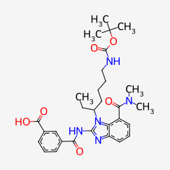 CCC(CCCCNC(=O)OC(C)(C)C)n1c(NC(=O)c2cccc(C(=O)O)c2)nc2cccc(C(=O)N(C)C)c21